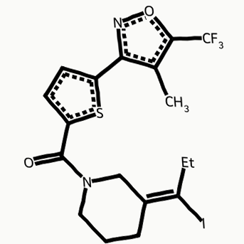 CC/C(I)=C1/CCCN(C(=O)c2ccc(-c3noc(C(F)(F)F)c3C)s2)C1